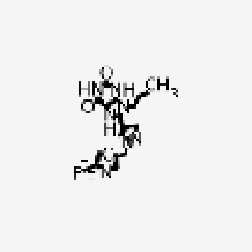 CCCCN1c2[nH]c(=O)[nH]c(=O)c2NC1c1cnn(Cc2ccc(C(F)(F)F)nc2)c1